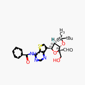 CC(C)(C)[Si](C)(C)O[C@H]1[C@@H](F)[C@H](c2csc3c(NC(=O)c4ccccc4)ncnc23)O[C@@]1(C=O)CO